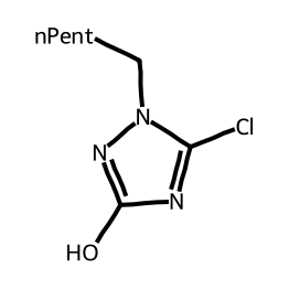 CCCCCCn1nc(O)nc1Cl